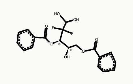 O=C(OC[C@@H](O)[C@@H](OC(=O)c1ccccc1)C(F)(F)C(O)O)c1ccccc1